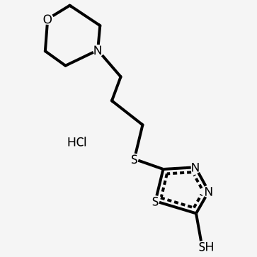 Cl.Sc1nnc(SCCCN2CCOCC2)s1